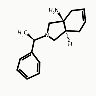 C[C@H](c1ccccc1)N1C[C@@H]2CC=CC[C@@]2(N)C1